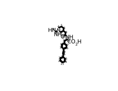 N=C(N)N1CCCC(CC(=O)NC(Cc2ccc(C#Cc3ccccc3)cc2)C(=O)O)C1